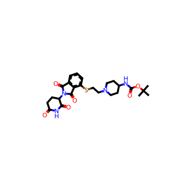 CC(C)(C)OC(=O)NC1CCN(CCSc2cccc3c2C(=O)N(C2CCC(=O)NC2=O)C3=O)CC1